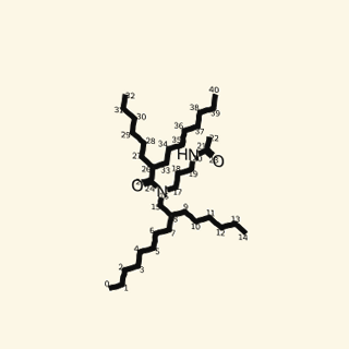 CCCCCCCCC(CCCCCC)CN(CCCNC(C)=O)C(=O)C(CCCCCC)CCCCCCCC